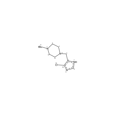 CC(C)(C)N1CCN(Cc2[nH]cnc2Cl)CC1